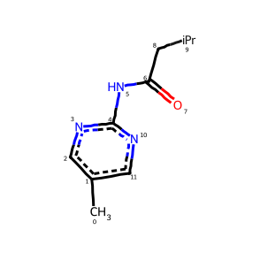 Cc1cnc(NC(=O)CC(C)C)nc1